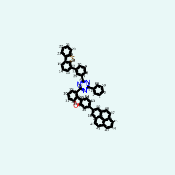 c1ccc(-c2nc(-c3cccc(-c4cccc5c4sc4ccccc45)c3)nc(-c3cccc4oc5cc(-c6cc7ccc8cccc9ccc(c6)c7c89)ccc5c34)n2)cc1